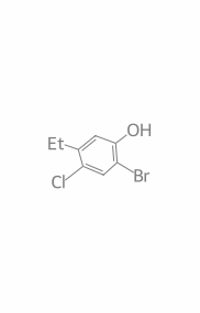 CCc1cc(O)c(Br)cc1Cl